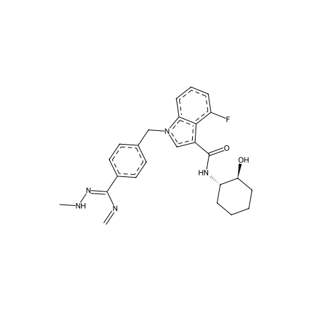 C=N/C(=N\NC)c1ccc(Cn2cc(C(=O)N[C@H]3CCCC[C@@H]3O)c3c(F)cccc32)cc1